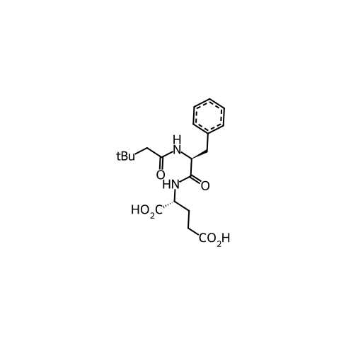 CC(C)(C)CC(=O)N[C@@H](Cc1ccccc1)C(=O)N[C@H](CCC(=O)O)C(=O)O